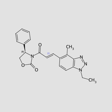 CCn1nnc2c(C)c(/C=C/C(=O)N3C(=O)OC[C@H]3c3ccccc3)ccc21